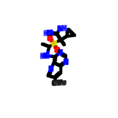 COc1cnc2c(NC(C)S(=O)(=O)C(C)(C(=N)N)C3CC3)ncnc2c1